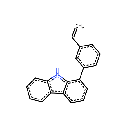 C=Cc1cccc(-c2cccc3c2[nH]c2ccccc23)c1